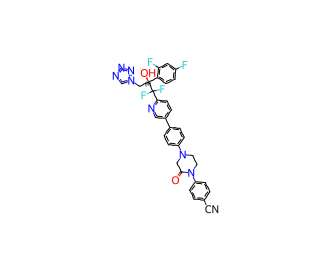 N#Cc1ccc(N2CCN(c3ccc(-c4ccc(C(F)(F)[C@](O)(Cn5cnnn5)c5ccc(F)cc5F)nc4)cc3)CC2=O)cc1